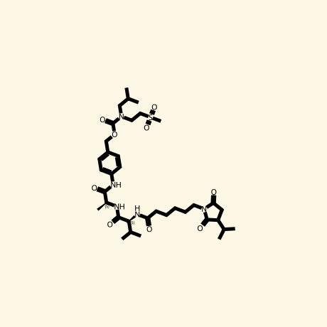 CC(C)CN(CCS(C)(=O)=O)C(=O)OCc1ccc(NC(=O)[C@H](C)NC(=O)[C@@H](NC(=O)CCCCCN2C(=O)CC(C(C)C)C2=O)C(C)C)cc1